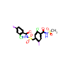 CS(=O)(=O)NC(=O)c1cc(I)c(CS(=O)(=O)NC(=O)c2ccc(I)cc2Cl)cc1Cl